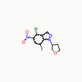 O=[N+]([O-])c1cc(F)c2c(cnn2C2CCOC2)c1Br